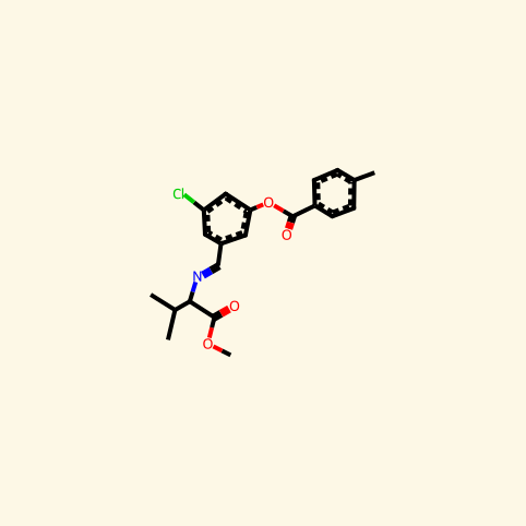 COC(=O)C(N=Cc1cc(Cl)cc(OC(=O)c2ccc(C)cc2)c1)C(C)C